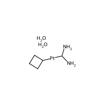 N[CH](N)[Pt][CH]1CCC1.O.O